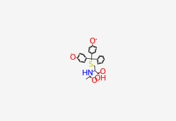 COc1ccc(C(SCC(NC(C)=O)C(=O)O)(c2ccccc2)c2ccc(OC)cc2)cc1